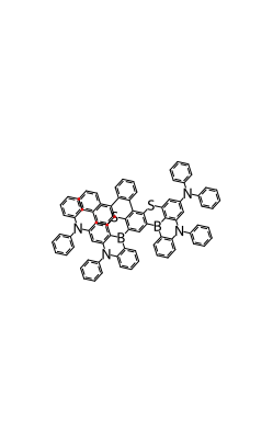 c1ccc(N(c2ccccc2)c2cc3c4c(c2)N(c2ccccc2)c2ccccc2B4c2cc4c(c(-c5ccccc5-c5cccc6ccccc56)c2S3)Sc2cc(N(c3ccccc3)c3ccccc3)cc3c2B4c2ccccc2N3c2ccccc2)cc1